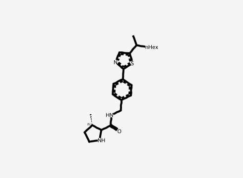 CCCCCCC(C)c1cnc(-c2ccc(CNC(=O)C3NCC[C@@H]3C)cc2)s1